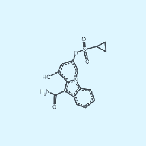 NC(=O)c1c2ccccc2n2cc(OS(=O)(=O)C3CC3)cc(O)c12